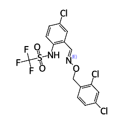 O=S(=O)(Nc1ccc(Cl)cc1/C=N/OCc1ccc(Cl)cc1Cl)C(F)(F)F